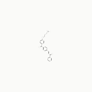 O=C(C=Cc1ccc(C(=O)c2ccc(OCCCO)cc2)cc1)c1ccccc1